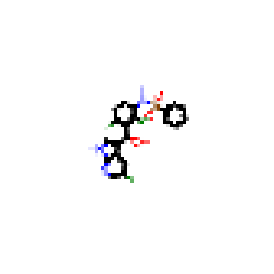 O=S(=O)(Nc1ccc(F)c(C(O)c2c[nH]c3ncc(F)cc23)c1F)c1ccccc1